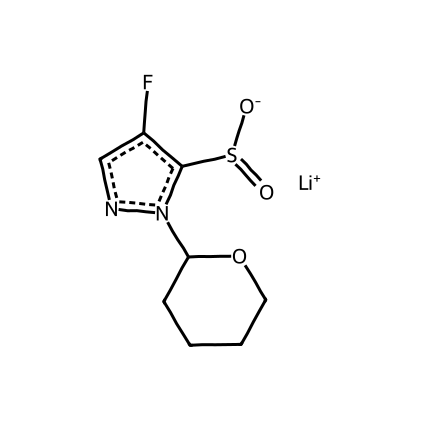 O=S([O-])c1c(F)cnn1C1CCCCO1.[Li+]